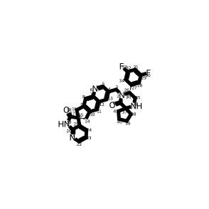 O=C1N(Cc2cnc3cc4c(cc3c2)C[C@@]2(C4)C(=O)Nc3ncccc32)[C@H](c2cc(F)cc(F)c2)CNC12CCCC2